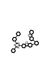 c1ccc(-c2cccc(-c3nc(-c4ccccc4)nc(-c4ccc5c(c4)oc4cc(-c6ccccc6-c6ccc7sc8ccccc8c7c6)ccc45)n3)c2)cc1